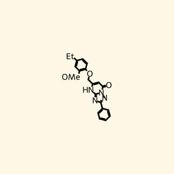 CCc1ccc(OCc2cc(=O)n3nc(-c4ccccc4)nc3[nH]2)c(OC)c1